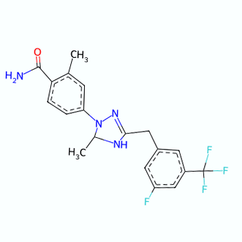 Cc1cc(N2N=C(Cc3cc(F)cc(C(F)(F)F)c3)NC2C)ccc1C(N)=O